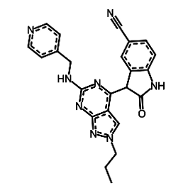 CCCn1cc2c(C3C(=O)Nc4ccc(C#N)cc43)nc(NCc3ccncc3)nc2n1